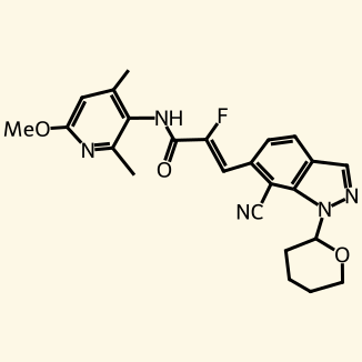 COc1cc(C)c(NC(=O)/C(F)=C/c2ccc3cnn(C4CCCCO4)c3c2C#N)c(C)n1